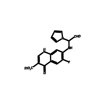 CCOC(=O)c1c[nH]c2cc(NC(C=O)n3cccc3)c(F)cc2c1=O